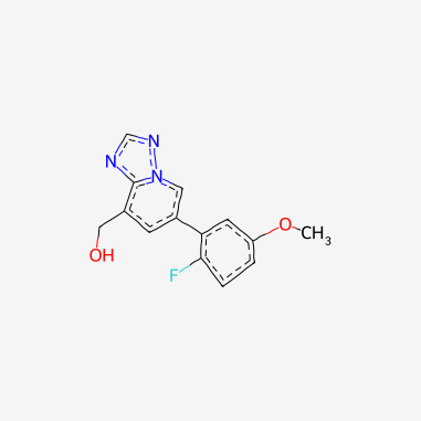 COc1ccc(F)c(-c2cc(CO)c3ncnn3c2)c1